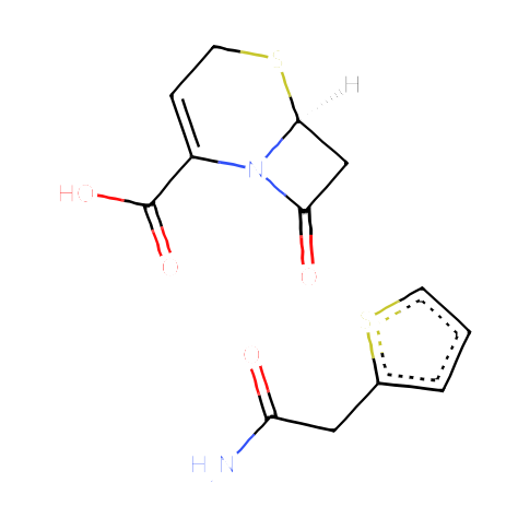 NC(=O)Cc1cccs1.O=C(O)C1=CCS[C@H]2CC(=O)N12